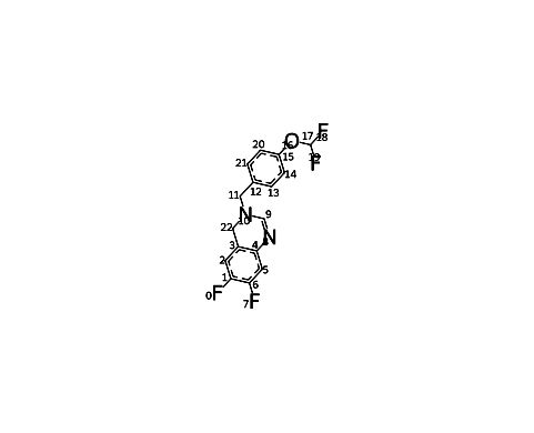 Fc1cc2c(cc1F)N=CN(Cc1ccc(OC(F)F)cc1)C2